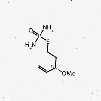 C=C[C@H](CCSP(N)(N)=O)OC